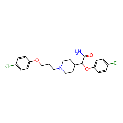 NC(=O)C(Oc1ccc(Cl)cc1)C1CCN(CCCOc2ccc(Cl)cc2)CC1